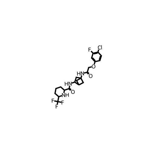 O=C(COc1ccc(Cl)c(F)c1)NC12CC(C1)C(NC(=O)C1CCCC(C(F)(F)F)N1)C2